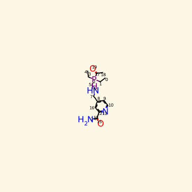 CC[PH](CC)(CNCc1ccnc(C(N)=O)c1)C(C)=O